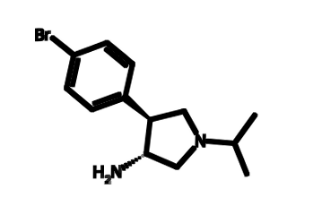 CC(C)N1C[C@H](c2ccc(Br)cc2)[C@@H](N)C1